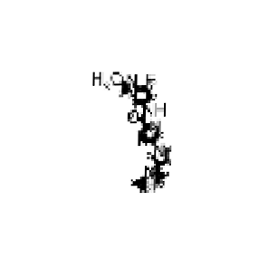 Cc1cn2cc(NC(=O)c3cnc(N4CC[C@@H](C5(NC6CC6)CC5)C4)cn3)cc(F)c2n1